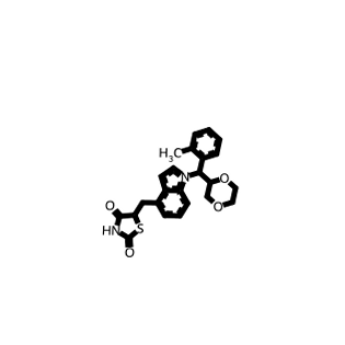 Cc1ccccc1C(C1COCCO1)n1ccc2c(CC3SC(=O)NC3=O)cccc21